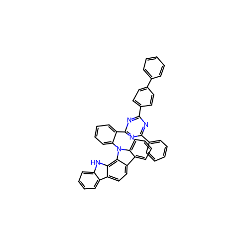 c1ccc(-c2ccc(-c3nc(-c4ccccc4)nc(-c4ccccc4-n4c5ccccc5c5ccc6c7ccccc7[nH]c6c54)n3)cc2)cc1